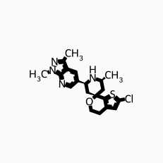 Cc1nn(C)c2ncc([C@@H]3C[C@]4(C[C@H](C)N3)OCCc3cc(Cl)sc34)cc12